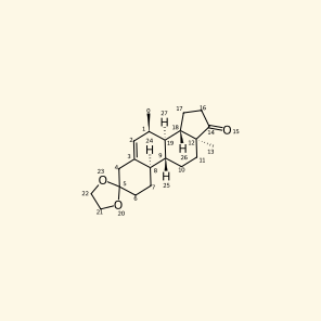 C[C@@H]1C=C2CC3(CC[C@@H]2[C@H]2CC[C@]4(C)C(=O)CC[C@H]4[C@@H]21)OCCO3